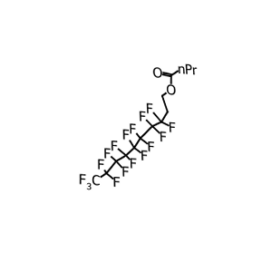 C[CH]CC(=O)OCCC(F)(F)C(F)(F)C(F)(F)C(F)(F)C(F)(F)C(F)(F)C(F)(F)C(F)(F)F